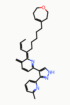 C=c1ccc(-c2c[nH]nc2-c2cccc(C)n2)n/c1=C(/C=C\C)CCCCCC1=CCCOCC1